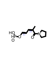 C/C(=C/C=C/O[PH](=O)O)C(=O)N1CCCC1